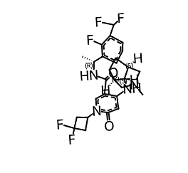 C[C@@H](NC(=O)c1cn(C2CC(F)(F)C2)c(=O)cc1N[C@@H]1[C@@H]2CC[C@H]1CN(C)C2)c1cccc(C(F)F)c1F